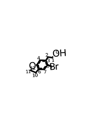 OCCc1cc2c(cc1Br)CCO2